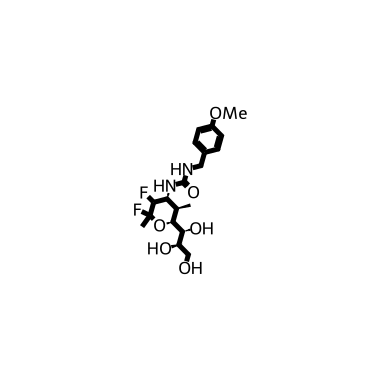 COc1ccc(CNC(=O)N[C@H]2C(F)C(C)(F)O[C@@H]([C@H](O)[C@H](O)CO)[C@@H]2C)cc1